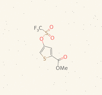 COC(=O)c1cc(OS(=O)(=O)C(F)(F)F)cs1